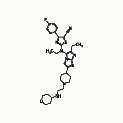 CCc1nc2sc(C3CCN(CCNC4CCOCC4)CC3)cn2c1N(CC)c1nc(-c2ccc(F)cc2)c(C#N)s1